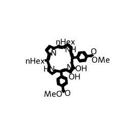 CCCCCC/C1=C2\C=CC(=N2)/C(CCCCCC)=c2/cc/c([nH]2)=C(\c2ccc(C(=O)OC)cc2)C2=N/C(=C(/c3ccc(C(=O)OC)cc3)C3CC=C1N3)C(O)=C2O